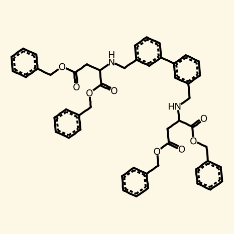 O=C(CC(NCc1cccc(-c2cccc(CNC(CC(=O)OCc3ccccc3)C(=O)OCc3ccccc3)c2)c1)C(=O)OCc1ccccc1)OCc1ccccc1